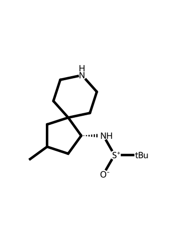 CC1C[C@@H](N[S+]([O-])C(C)(C)C)C2(CCNCC2)C1